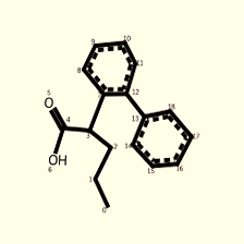 CCCC(C(=O)O)c1ccccc1-c1ccccc1